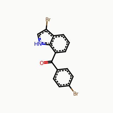 O=C(c1ccc(Br)cc1)c1cccc2c(Br)c[nH]c12